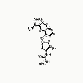 CCCNC(=O)Nc1ccc(Oc2ccnc3cc(OC)c(C(N)=O)cc23)cc1F